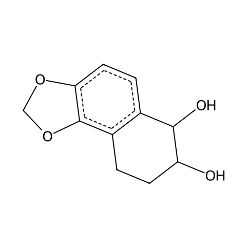 OC1CCc2c(ccc3c2OCO3)C1O